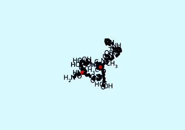 Cc1c(-c2ccc(N3CCc4cccc(C(=O)Nc5nc6ccccc6s5)c4C3)nc2C(=O)O)cnn1CC12CC3(C)CC(C)(C1)CC(OCCN(CCCP(=O)(O)O)C1CCN(C(=O)OCC=Cc4ccc(O[C@@H]5O[C@H](C(=O)O)[C@@H](O)[C@H](O)[C@H]5O)c(NC(=O)CCN)c4)CC1)(C3)C2